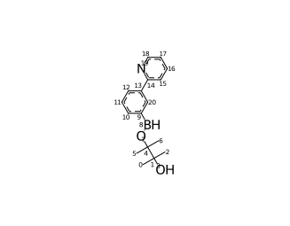 CC(C)(O)C(C)(C)OBc1cccc(-c2ccccn2)c1